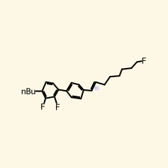 CCCCc1ccc(-c2ccc(/C=C/CCCCCCF)cc2)c(F)c1F